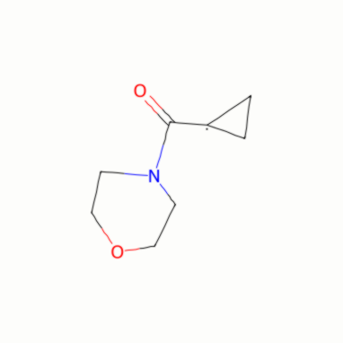 O=C([C]1CC1)N1CCOCC1